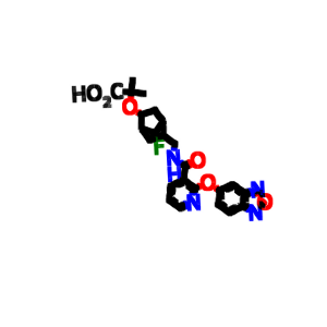 CC(C)(OC1CC2C(CNC(=O)c3cccnc3Oc3ccc4nonc4c3)=CC1C2F)C(=O)O